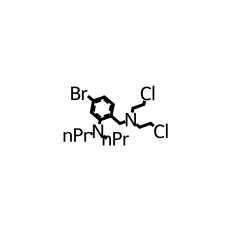 CCCN(CCC)c1cc(Br)ccc1CN(CCCl)CCCl